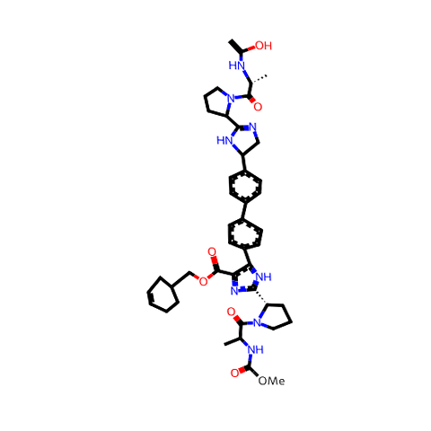 C=C(O)N[C@H](C)C(=O)N1CCCC1C1=NCC(c2ccc(-c3ccc(-c4[nH]c([C@@H]5CCCN5C(=O)C(C)NC(=O)OC)nc4C(=O)OCC4CC=CCC4)cc3)cc2)N1